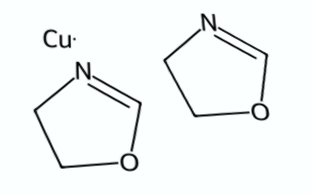 C1=NCCO1.C1=NCCO1.[Cu]